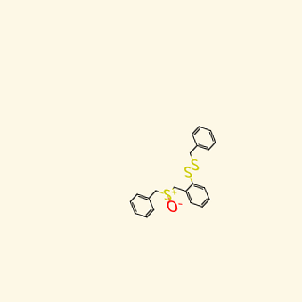 [O-][S+](Cc1ccccc1)Cc1ccccc1SSCc1ccccc1